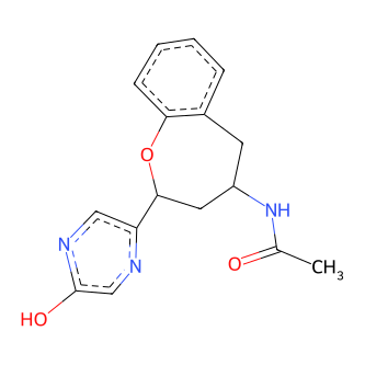 CC(=O)NC1Cc2ccccc2OC(c2cnc(O)cn2)C1